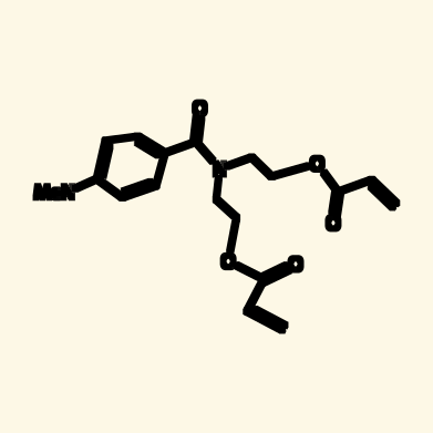 C=CC(=O)OCCN(CCOC(=O)C=C)C(=O)c1ccc(NC)cc1